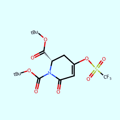 CC(C)(C)OC(=O)[C@@H]1CC(OS(=O)(=O)C(F)(F)F)=CC(=O)N1C(=O)OC(C)(C)C